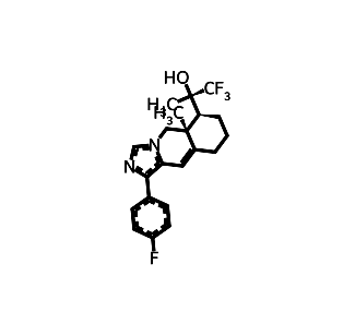 C[C@]12Cn3cnc(-c4ccc(F)cc4)c3C=C1CCC[C@@H]2[C@](C)(O)C(F)(F)F